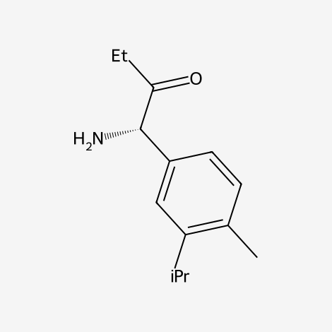 CCC(=O)[C@@H](N)c1ccc(C)c(C(C)C)c1